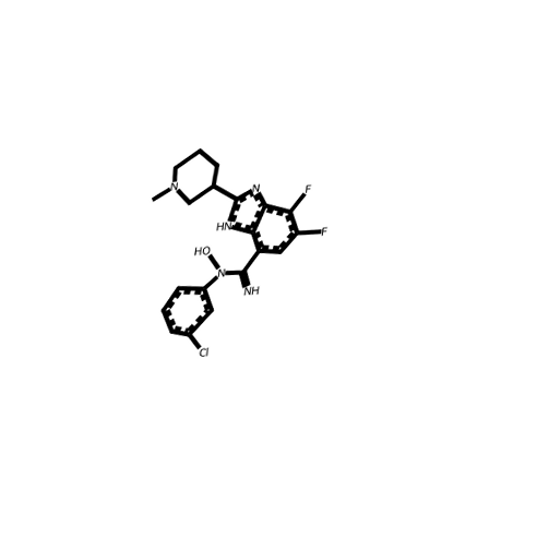 CN1CCCC(c2nc3c(F)c(F)cc(C(=N)N(O)c4cccc(Cl)c4)c3[nH]2)C1